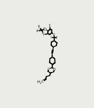 C=CCCC1COC(C2CCC(C#CC3CCC(C(F)(F)Oc4cc(F)c(OC(F)(F)F)c(F)c4)CC3)CC2)OC1